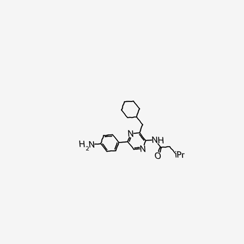 CC(C)CC(=O)Nc1ncc(-c2ccc(N)cc2)nc1CC1CCCCC1